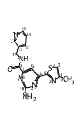 Cc1csc(-c2cc(C(=O)NCc3cccnc3)nc(N)n2)n1